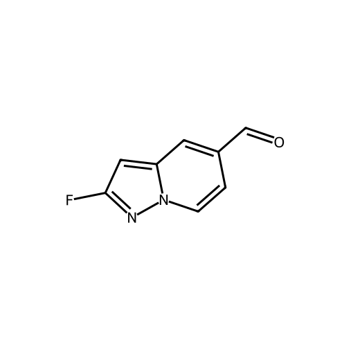 O=Cc1ccn2nc(F)cc2c1